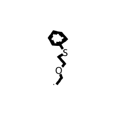 [CH2]COCCSc1ccccc1